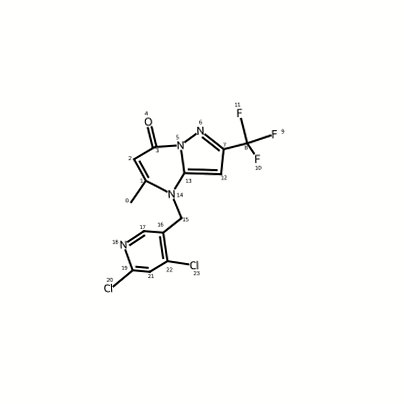 Cc1cc(=O)n2nc(C(F)(F)F)cc2n1Cc1cnc(Cl)cc1Cl